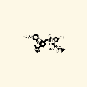 Cc1ncsc1-c1ccc(CNC(=O)[C@@H]2C[C@@H](O)CN2C(=O)[C@@H](NC(=O)C2(F)CC2)C(C)(C)C)c(OC2CCN(C(=O)O)CC2C(C)(C)C)c1